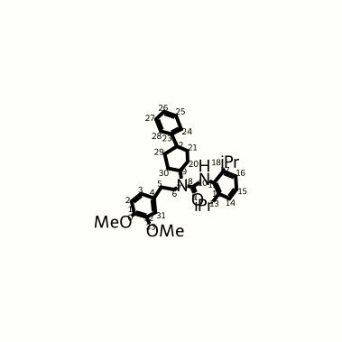 COc1ccc(CCN(C(=O)Nc2c(C(C)C)cccc2C(C)C)C2CCC(c3ccccc3)CC2)cc1OC